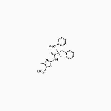 CCOC(=O)c1sc(NC(=O)C(C)(C)C(c2ccccc2)c2ccccc2OC)nc1C